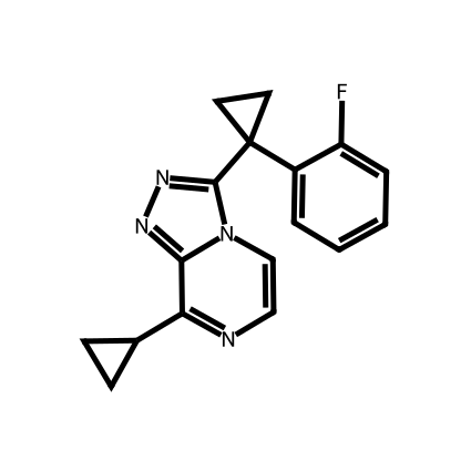 Fc1ccccc1C1(c2nnc3c(C4CC4)nccn23)CC1